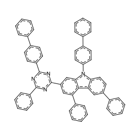 c1ccc(-c2ccc(-c3nc(-c4ccccc4)nc(-c4cc(-c5ccccc5)c5c6cc(-c7ccccc7)ccc6n(-c6ccc(-c7ccccc7)cc6)c5c4)n3)cc2)cc1